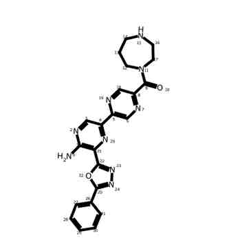 Nc1ncc(-c2cnc(C(=O)N3CCCNCC3)cn2)nc1-c1nnc(-c2ccccc2)o1